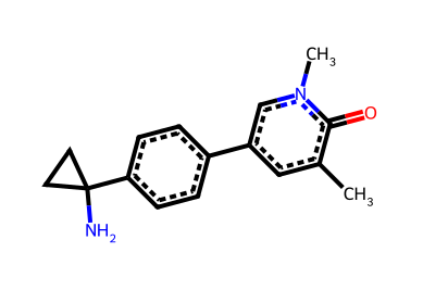 Cc1cc(-c2ccc(C3(N)CC3)cc2)cn(C)c1=O